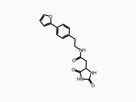 O=C(CC1NC(=O)NC1=O)NCCc1ccc(-c2ccco2)cc1